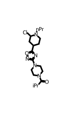 CCCN1CCC(c2nc(N3CCN(C(=O)C(C)C)CC3)no2)CC1Cl